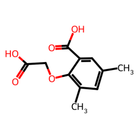 Cc1cc(C)c(OCC(=O)O)c(C(=O)O)c1